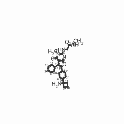 CNC(=O)CNc1nc2oc(-c3ccc(C4(N)CCC4)cc3)c(-c3ccccc3)c2c(=O)n1C